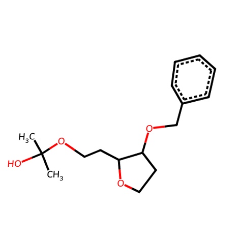 CC(C)(O)OCCC1OCCC1OCc1ccccc1